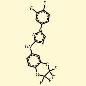 Fc1ccc(-n2cnc(Nc3ccc4c(c3)OC(F)(F)C(F)(F)O4)n2)cc1F